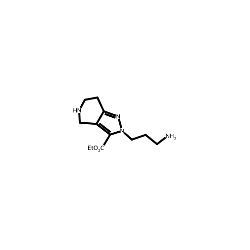 CCOC(=O)c1c2c(nn1CCCN)CCNC2